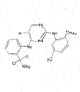 CNS(=O)(=O)c1ccccc1Nc1nc(Nc2cc(C)ccc2OC)ncc1Br